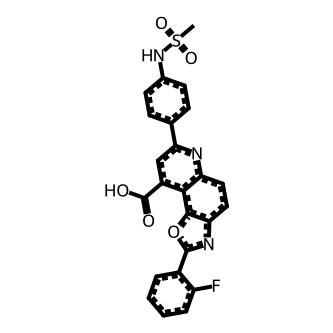 CS(=O)(=O)Nc1ccc(-c2cc(C(=O)O)c3c(ccc4nc(-c5ccccc5F)oc43)n2)cc1